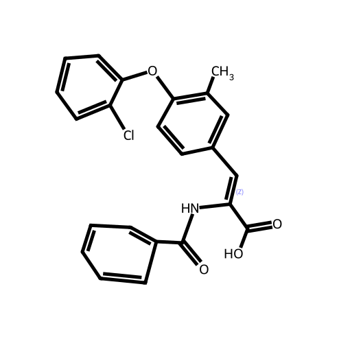 Cc1cc(/C=C(\NC(=O)c2ccccc2)C(=O)O)ccc1Oc1ccccc1Cl